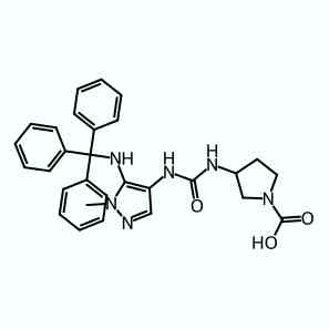 Cn1ncc(NC(=O)NC2CCN(C(=O)O)C2)c1NC(c1ccccc1)(c1ccccc1)c1ccccc1